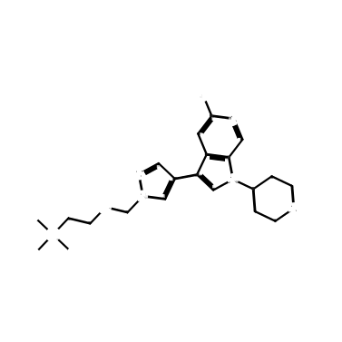 C[Si](C)(C)CCOCn1cc(-c2cn(C3CCNCC3)c3cnc(Br)cc23)cn1